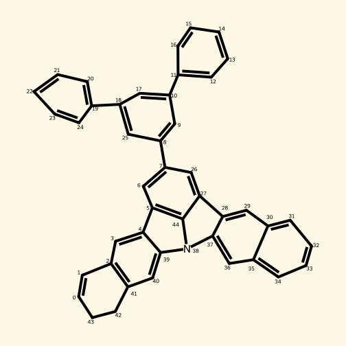 C1=Cc2cc3c4cc(-c5cc(-c6ccccc6)cc(-c6ccccc6)c5)cc5c6cc7ccccc7cc6n(c3cc2CC1)c45